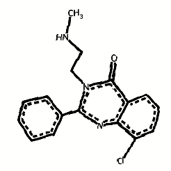 CNCCn1c(-c2ccccc2)nc2c(Cl)cccc2c1=O